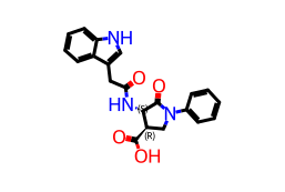 O=C(Cc1c[nH]c2ccccc12)N[C@@H]1C(=O)N(c2ccccc2)C[C@H]1C(=O)O